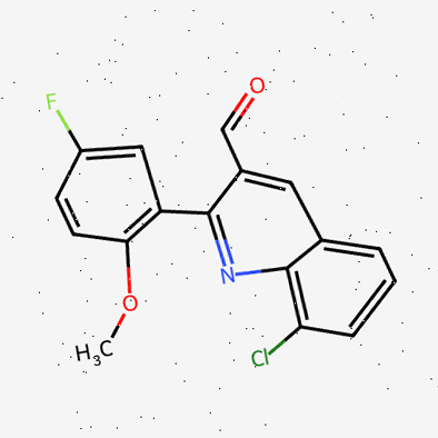 COc1ccc(F)cc1-c1nc2c(Cl)cccc2cc1C=O